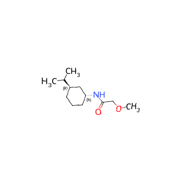 COCC(=O)N[C@@H]1CCC[C@@H](C(C)C)C1